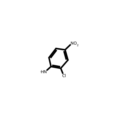 [NH]c1ccc([N+](=O)[O-])cc1Cl